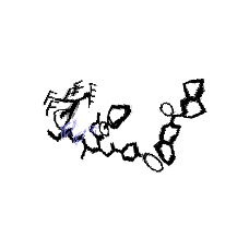 C=C/C(=C\C=C\C(C)CC(CC(C)c1ccc(Oc2ccc3ccc(C(=O)c4ccc5ccccc5c4)cc3c2)cc1)C(=C)/C=C\C(=C)OC1CC2CCC1C2)OCC(C(F)(F)F)C(F)(F)F